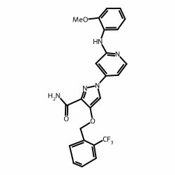 COc1ccccc1Nc1cc(-n2cc(OCc3ccccc3C(F)(F)F)c(C(N)=O)n2)ccn1